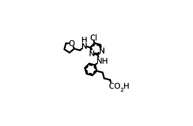 O=C(O)CCCc1ccccc1Nc1ncc(Cl)c(NCC2CCCO2)n1